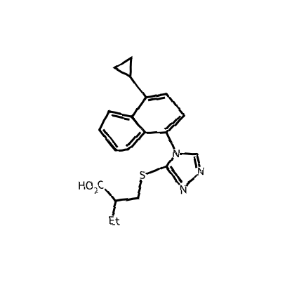 CCC(CSc1nncn1-c1ccc(C2CC2)c2ccccc12)C(=O)O